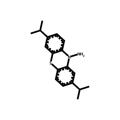 CC(C)c1ccc2c(c1)Sc1ccc(C(C)C)cc1N2N